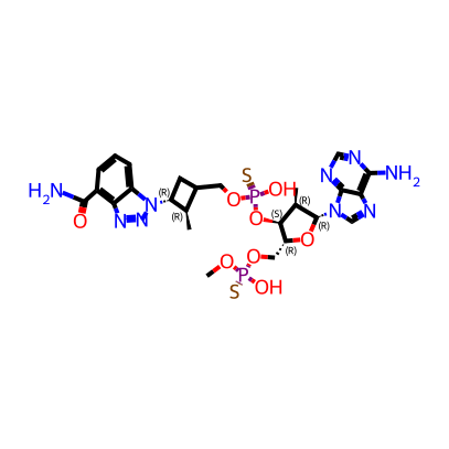 COP(O)(=S)OC[C@H]1O[C@@H](n2cnc3c(N)ncnc32)[C@H](C)[C@@H]1OP(O)(=S)OCC1C[C@@H](n2nnc3c(C(N)=O)cccc32)[C@@H]1C